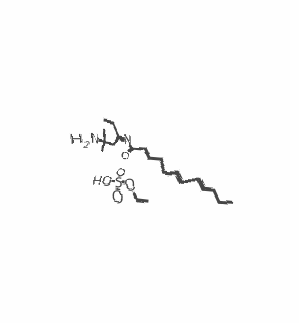 CCCCCCCCCCCC(=O)N=C(CC)CC(C)(C)N.CCOS(=O)(=O)O